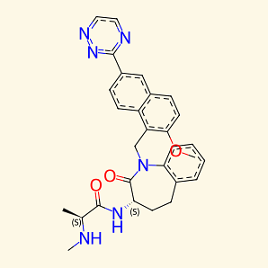 CN[C@@H](C)C(=O)N[C@H]1CCc2ccccc2N(Cc2c(OC)ccc3cc(-c4nccnn4)ccc23)C1=O